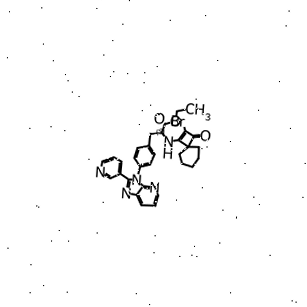 CCOC(=O)[C@H](Cc1ccc(-n2c(-c3cccnc3)nc3cccnc32)cc1)NC1=C(Br)C(=O)C12CCCCC2